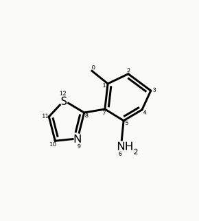 Cc1cccc(N)c1-c1nccs1